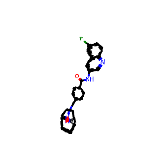 O=C(Nc1cnc2ccc(F)cc2c1)c1ccc(N2CC3CCC(CC3)C2)cc1